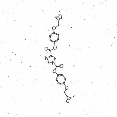 O=C(Oc1ccc(OCC2CO2)cc1)c1cn(C(=O)Oc2ccc(OCC3CO3)cc2)cn1